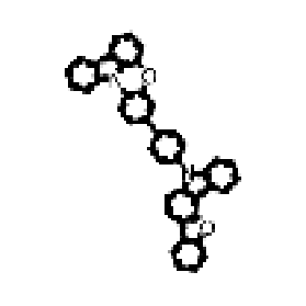 c1ccc2c(c1)oc1c2ccc2c1c1ccccc1n2-c1ccc(-c2ccc3c(c2)Oc2cccc4c5ccccc5n-3c24)cc1